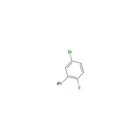 C[C](C)c1cc(Br)ccc1F